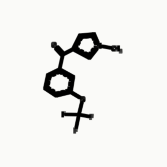 Cn1ccc(C(=O)c2cccc(OC(F)(F)F)c2)c1